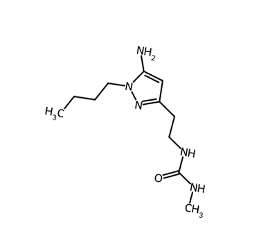 CCCCn1nc(CCNC(=O)NC)cc1N